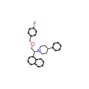 Fc1ccc(COCC(c2cccc3ccccc23)N2CCC(c3ccccc3)CC2)cc1